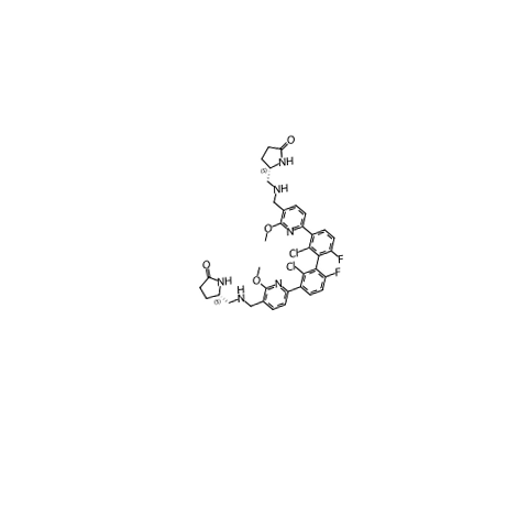 COc1nc(-c2ccc(F)c(-c3c(F)ccc(-c4ccc(CNC[C@@H]5CCC(=O)N5)c(OC)n4)c3Cl)c2Cl)ccc1CNC[C@@H]1CCC(=O)N1